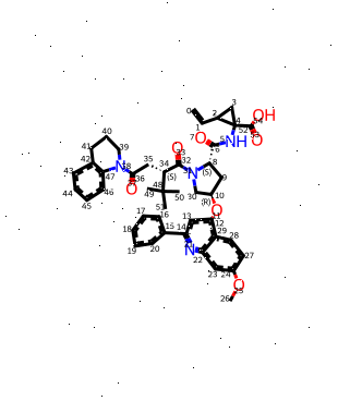 C=CC1CC1(NC(=O)[C@@H]1C[C@@H](Oc2cc(-c3ccccc3)nc3cc(OC)ccc23)CN1C(=O)[C@@H](CC(=O)N1CCCc2ccccc21)C(C)(C)C)C(=O)O